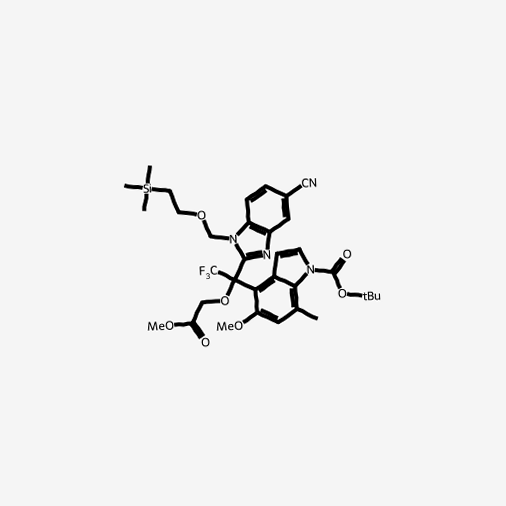 COC(=O)COC(c1c(OC)cc(C)c2c1ccn2C(=O)OC(C)(C)C)(c1nc2cc(C#N)ccc2n1COCC[Si](C)(C)C)C(F)(F)F